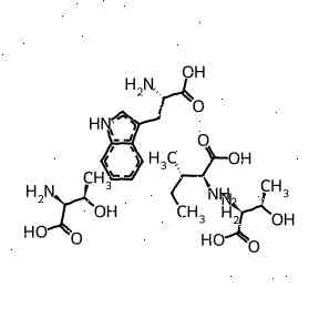 CC[C@H](C)[C@H](N)C(=O)O.C[C@@H](O)[C@H](N)C(=O)O.C[C@@H](O)[C@H](N)C(=O)O.N[C@@H](Cc1c[nH]c2ccccc12)C(=O)O